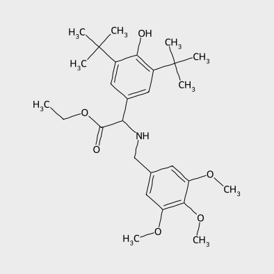 CCOC(=O)C(NCc1cc(OC)c(OC)c(OC)c1)c1cc(C(C)(C)C)c(O)c(C(C)(C)C)c1